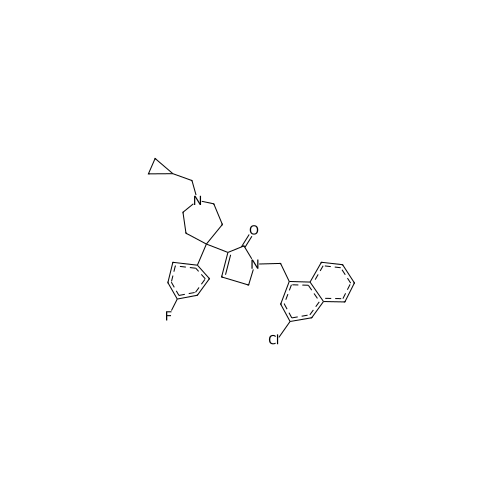 O=C1C(C2(c3ccc(F)cc3)CCN(CC3CC3)CC2)=CCN1Cc1cc(Cl)cc2ccccc12